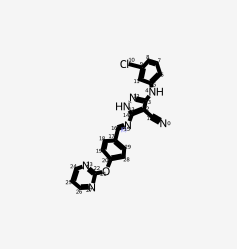 N#Cc1c(Nc2cccc(Cl)c2)n[nH]c1/N=C/c1ccc(Oc2ncccn2)cc1